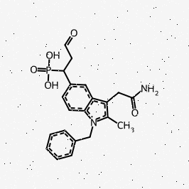 Cc1c(CC(N)=O)c2cc(C(CC=O)P(=O)(O)O)ccc2n1Cc1ccccc1